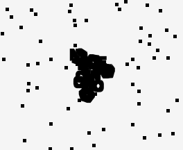 O=C1C(N2C(=O)c3ccccc3C2=O)N=C(c2ccccc2F)c2ccccc2N1Cc1cccnc1